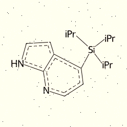 CC(C)[Si](c1ccnc2[nH]ccc12)(C(C)C)C(C)C